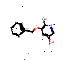 N#Cc1ncc(O)cc1OCc1ccccc1